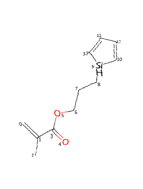 C=C(C)C(=O)OCCC[SiH]1C=CC=C1